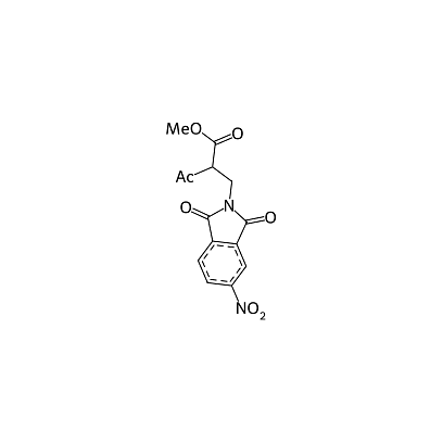 COC(=O)C(CN1C(=O)c2ccc([N+](=O)[O-])cc2C1=O)C(C)=O